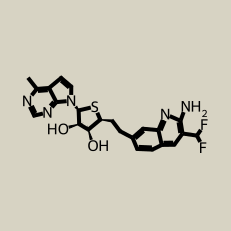 Cc1ncnc2c1ccn2[C@H]1S[C@@H](CCc2ccc3cc(C(F)F)c(N)nc3c2)[C@@H](O)[C@H]1O